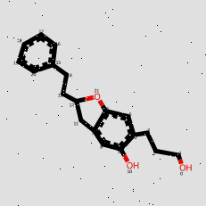 OCCCc1cc2c(cc1O)CC(CCc1ccccc1)O2